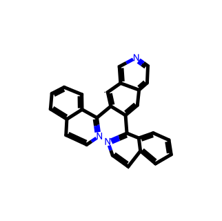 [c]1c(-c2nccc3ccccc23)c(-c2nccc3ccccc23)cc2ccncc12